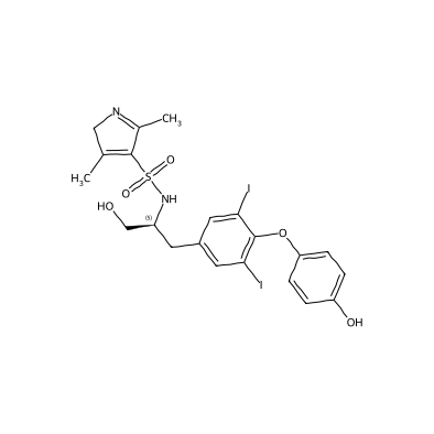 CC1=NCC(C)=C1S(=O)(=O)N[C@H](CO)Cc1cc(I)c(Oc2ccc(O)cc2)c(I)c1